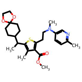 COC(=O)c1c(CCN(C)c2ccc(C)nc2)sc(C(C)C2CCC3(CC2)OCCO3)c1C